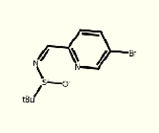 CC(C)(C)[S+]([O-])/N=C\c1ccc(Br)cn1